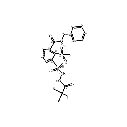 CC(C)(C)C(=O)ONS(=O)(=O)c1cccc(C(=O)OCc2ccccc2)c1S(C)(=O)=O